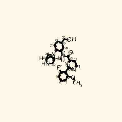 COc1cccc(F)c1-c1nccc(C(=O)Nc2cc(CO)ccc2N2C[C@H]3C[C@@H]2CN3)n1